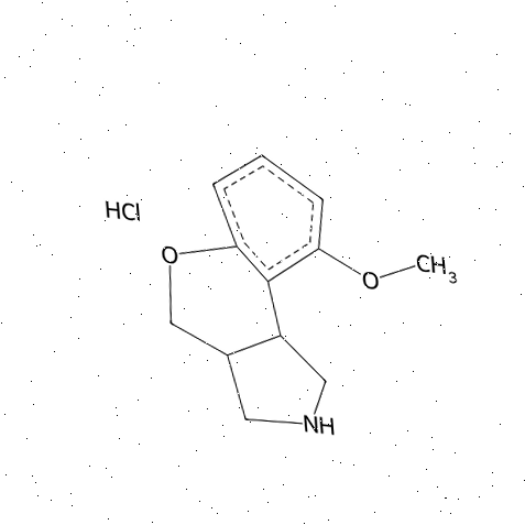 COc1cccc2c1C1CNCC1CO2.Cl